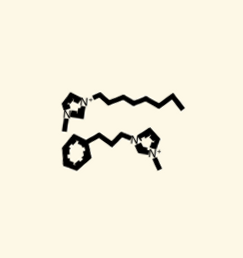 CCCCCCCC[n+]1ccn(C)c1.C[n+]1ccn(CCCc2ccccc2)c1